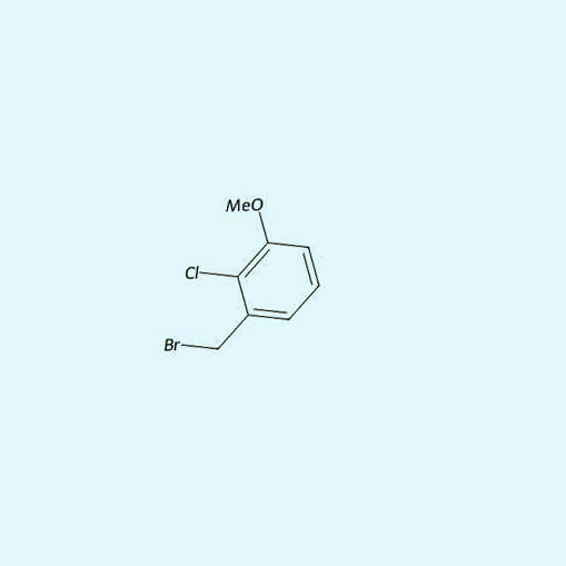 COc1cccc(CBr)c1Cl